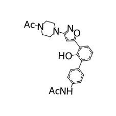 CC(=O)Nc1ccc(-c2cccc(-c3cc(N4CCN(C(C)=O)CC4)no3)c2O)cc1